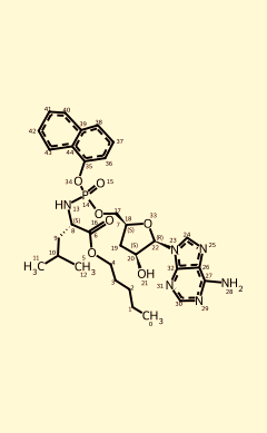 CCCCCOC(=O)[C@H](CC(C)C)NP(=O)(OC[C@@H]1C[C@H](O)[C@H](n2cnc3c(N)ncnc32)O1)Oc1cccc2ccccc12